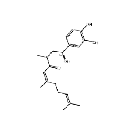 CC(C)=CCCC(C)=CC(=O)N(C)C[C@H](O)c1ccc(O)c(O)c1